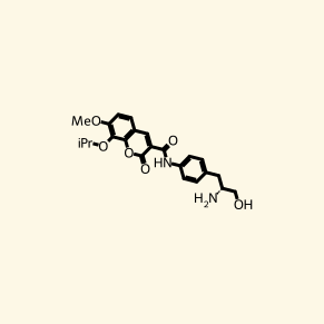 COc1ccc2cc(C(=O)Nc3ccc(C[C@@H](N)CO)cc3)c(=O)oc2c1OC(C)C